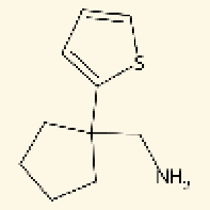 NCC1(c2cccs2)CCCC1